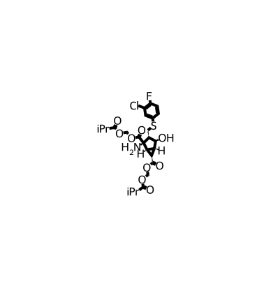 CC(C)C(=O)OCOC(=O)[C@H]1[C@@H]2[C@H](O)[C@@H](CSc3ccc(F)c(Cl)c3)[C@@](N)(C(=O)OCOC(=O)C(C)C)[C@H]12